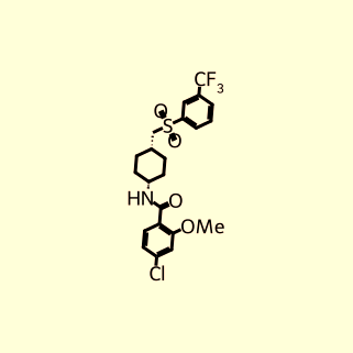 COc1cc(Cl)ccc1C(=O)N[C@H]1CC[C@@H](CS(=O)(=O)c2cccc(C(F)(F)F)c2)CC1